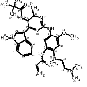 C=CC(=O)Nc1cc(NC2=NC(C)C(NC(=O)C(C)(C)C)C(c3cn(C)c4ccccc34)=N2)c(OC)cc1N(C)CCN(C)C